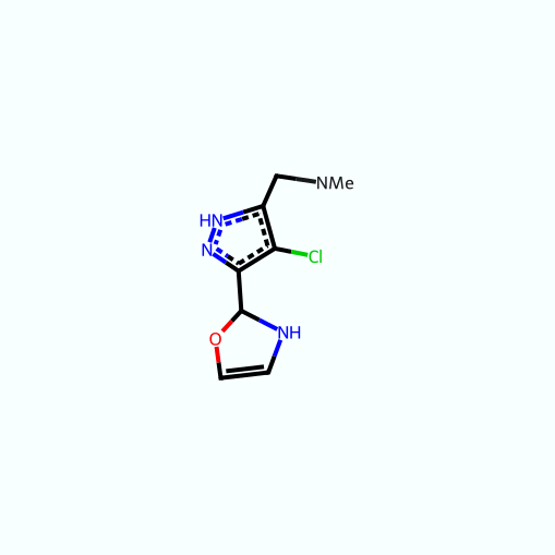 CNCc1[nH]nc(C2NC=CO2)c1Cl